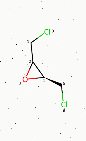 ClCC1O[C@@H]1CCl